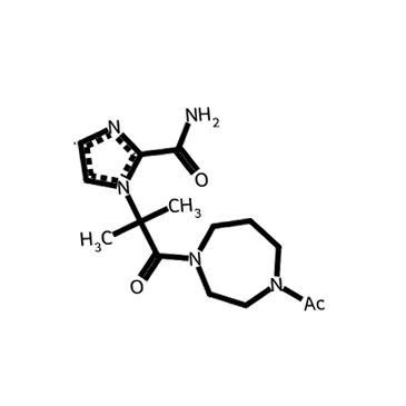 CC(=O)N1CCCN(C(=O)C(C)(C)n2c[c]nc2C(N)=O)CC1